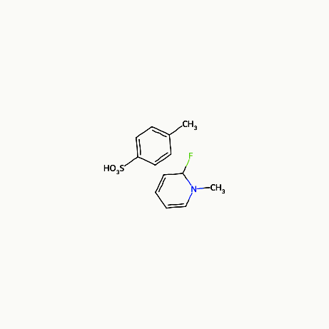 CN1C=CC=CC1F.Cc1ccc(S(=O)(=O)O)cc1